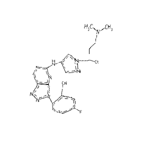 CCC(CCN(C)C)n1cc(Nc2ncc3nnn(-c4ccc(F)cc4C#N)c3n2)cn1